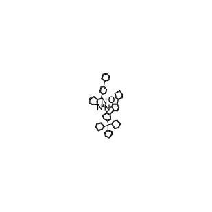 c1ccc(-c2ccc(-c3nc(-n4c5ccc(C(c6ccccc6)(c6ccccc6)c6ccccc6)cc5c5ccc6c7ccccc7oc6c54)nc4ccccc34)cc2)cc1